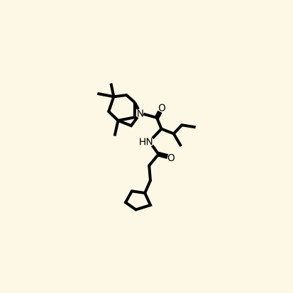 CCC(C)C(NC(=O)CCC1CCCC1)C(=O)N1CC2(C)CC1CC(C)(C)C2